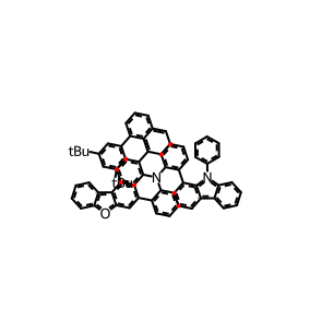 CC(C)(C)c1cc(-c2cccc3c2=C(c2ccccc2N(c2ccccc2-c2ccc4c(c2)oc2ccccc24)c2ccccc2-c2cccc4c5ccccc5n(-c5ccccc5)c24)CCC=3)cc(C(C)(C)C)c1